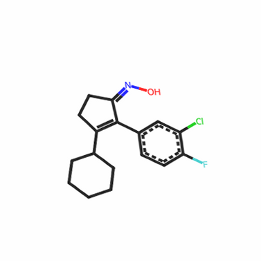 ON=C1CCC(C2CCCCC2)=C1c1ccc(F)c(Cl)c1